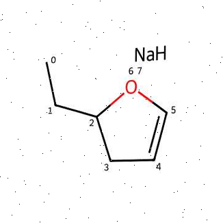 CCC1CC=CO1.[NaH]